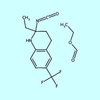 CCC1(N=C=O)CCc2cc(C(F)(F)F)ccc2N1.CCOC=O